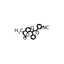 [C-]#[N+]c1cccc(C(=O)c2oc3ccc4c(C)cc(=O)oc4c3c2-c2ccccc2)c1